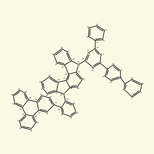 c1ccc(-c2ccc(-c3nc(-c4ccccc4)nc(-n4c5ccccc5c5c6c7ccccc7n(-c7ccccc7-c7ccc8c9ccccc9c9ccccc9c8c7)c6ccc54)n3)cc2)cc1